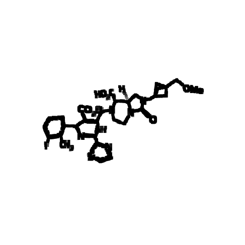 CCOC(=O)C1=C(CN2CCN3C(=O)N(C45CC(COC)(C4)C5)C[C@@H]3[C@@H]2C(=O)O)NC(c2nccs2)=NC1c1cccc(F)c1C